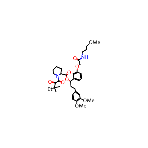 CCC(C)(C)C(=O)C(=O)N1CCCCC1C(=O)O[C@H](CCc1ccc(OC)c(OC)c1)c1cccc(OCC(=O)NCCCOC)c1